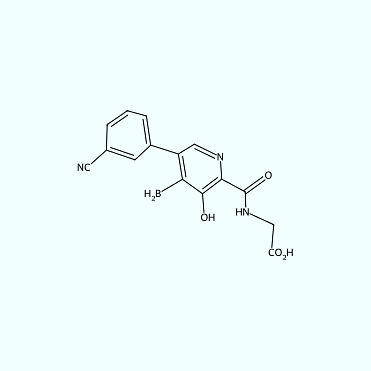 Bc1c(-c2cccc(C#N)c2)cnc(C(=O)NCC(=O)O)c1O